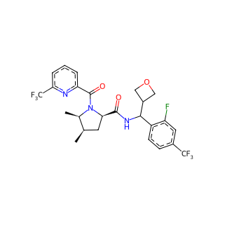 C[C@@H]1C[C@H](C(=O)NC(c2ccc(C(F)(F)F)cc2F)C2COC2)N(C(=O)c2cccc(C(F)(F)F)n2)[C@@H]1C